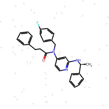 C[C@H](Nc1cc(N(Cc2ccc(F)cc2)C(=O)CCc2ccccc2)ccn1)c1ccccc1